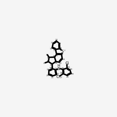 CC1C(C)C2c3c(sc4ccccc34)C=CC2C1c1ccccc1Nc1c(Cl)cccc1Cl